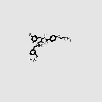 CCCOc1ccc(C(=O)N[C@@H](Cc2cc(F)cc(F)c2)[C@@H](O)CNCc2cccc(CC)c2)cc1